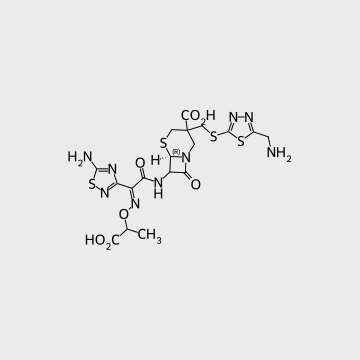 CC(ON=C(C(=O)NC1C(=O)N2CC(CSc3nnc(CN)s3)(C(=O)O)CS[C@H]12)c1nsc(N)n1)C(=O)O